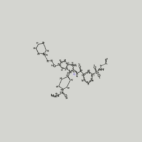 C=CCNS(=O)(=O)c1cccc(C(=O)/N=c2\[nH]c3cnc(OCCN4CCCCC4)cc3n2C2CCC(C(=O)NC)CC2)c1